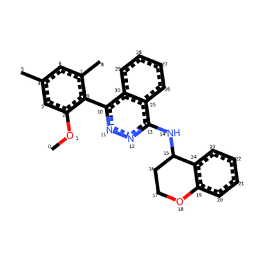 COc1cc(C)cc(C)c1-c1nnc(NC2CCOc3ccccc32)c2ccccc12